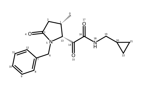 C[C@H]1CC(=O)N(Cc2ccccc2)[C@H]1C(=O)C(=O)NCC1CC1